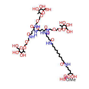 COP(=O)(O)OCC(CO)CCCCNC(=O)CCCCCCCCCCCNC(=O)CCCC(=O)N[C@@H](CCC(=O)N[C@@H](CCC(=O)NCCOCCOC1OC(CO)C(O)C(O)C1C)C(=O)NCCOCCOC1OC(CO)C(O)C(O)C1C)C(=O)NCCOCCOC1OC(CO)C(O)C(O)C1C